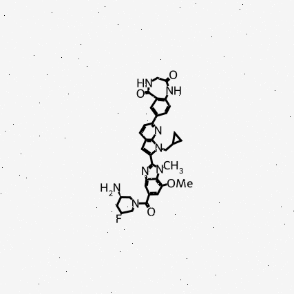 COc1cc(C(=O)N2C[C@H](N)C[C@@H](F)C2)cc2nc(-c3cc4ccc(-c5ccc6c(c5)C(=O)NCC(=O)N6)nc4n3CC3CC3)n(C)c12